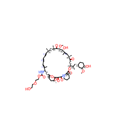 CO[C@@H]1C[C@H](C[C@@H](C)[C@@H]2CC(=O)[C@H](C)/C=C(\C)[C@@H](O)[C@@H](OC)C(=O)[C@H](C)C[C@H](C)/C=C/C=C/C=C(\C)C(NC(=O)OCCOCCO)C[C@@H]3CC[C@@H](C)[C@@](O)(O3)C(=O)C(=O)N3CCCC[C@H]3C(=O)O2)CC[C@H]1O